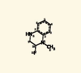 CN1c2ccccc2NCC1F